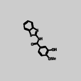 COc1ccc(C(=O)Nc2nc3ccccc3s2)cc1O